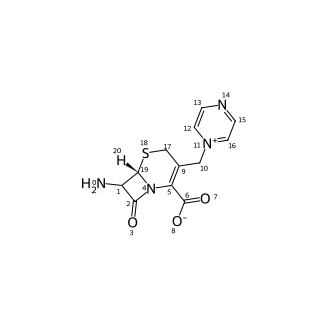 NC1C(=O)N2C(C(=O)[O-])=C(C[n+]3ccncc3)CS[C@@H]12